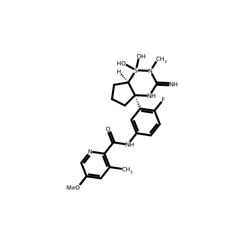 COc1cnc(C(=O)Nc2ccc(F)c([C@]34CCC[C@H]3S(O)(O)N(C)C(=N)N4)c2)c(C)c1